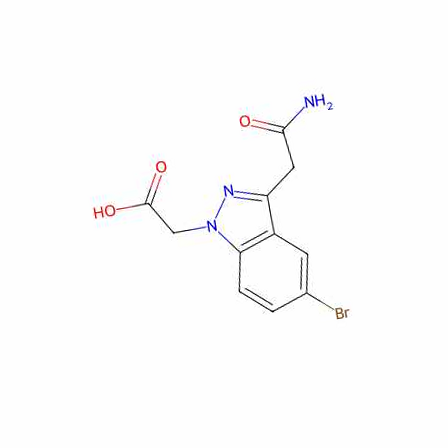 NC(=O)Cc1nn(CC(=O)O)c2ccc(Br)cc12